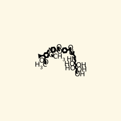 CCOc1cc(C(=O)OC)c(C2CC2)cc1CN1CCN(C(=O)Oc2ccc(C(=O)N3CC(CNC[C@H](O)[C@@H](O)[C@H](O)[C@H](O)CO)C3)cc2)CC1